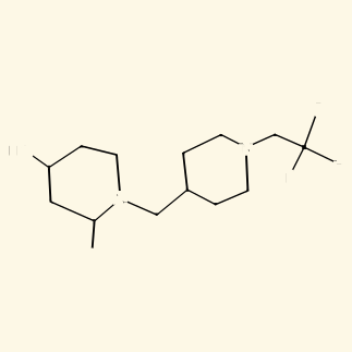 CC1CC(O)CCN1CC1CCN(CC(F)(F)F)CC1